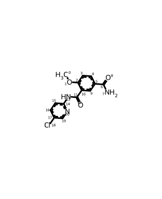 COc1ccc(C(N)=O)cc1C(=O)Nc1ccc(Cl)cn1